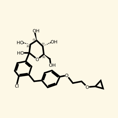 OC[C@H]1OC(O)(c2ccc(Cl)c(Cc3ccc(OCCOC4CC4)cc3)c2)[C@H](O)[C@@H](O)[C@@H]1O